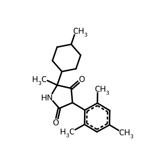 Cc1cc(C)c(C2C(=O)NC(C)(C3CCC(C)CC3)C2=O)c(C)c1